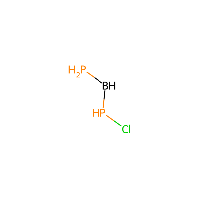 PBPCl